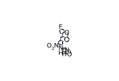 O=[N+]([O-])c1cc(/C=C2\c3ccccc3COc3cc(F)ccc32)ccc1N[C@@H]1C[C@@H]2COCCN2C1